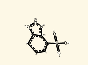 [O]S(=O)(=O)c1cccc2onnc12